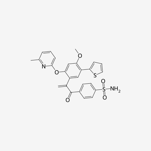 C=C(C(=O)c1ccc(S(N)(=O)=O)cc1)c1cc(-c2cccs2)c(OC)cc1Oc1cccc(C)n1